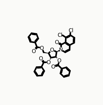 O=C(OC[C@H]1O[C@@H](n2ccc3ccc(Cl)c(Cl)c3c2=O)[C@H](OC(=O)c2ccccc2)[C@@H]1OC(=O)c1ccccc1)c1ccccc1